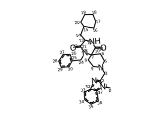 Cn1c(CN2CCC3(CC2)C(=O)NC(CC2CCCCC2)C(=O)N3Cc2ccccc2)nc2ccccc21